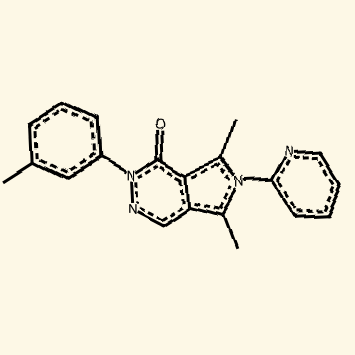 Cc1cccc(-n2ncc3c(C)n(-c4ccccn4)c(C)c3c2=O)c1